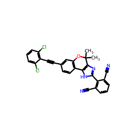 CC1(C)Oc2cc(C#Cc3c(Cl)cccc3Cl)ccc2-c2[nH]c(-c3c(C#N)cccc3C#N)nc21